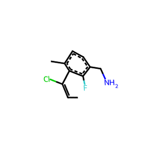 C/C=C(/Cl)c1c(C)ccc(CN)c1F